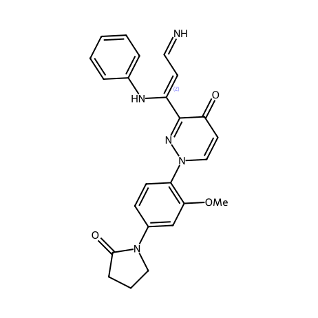 COc1cc(N2CCCC2=O)ccc1-n1ccc(=O)c(/C(=C/C=N)Nc2ccccc2)n1